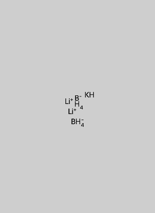 [BH4-].[BH4-].[KH].[Li+].[Li+]